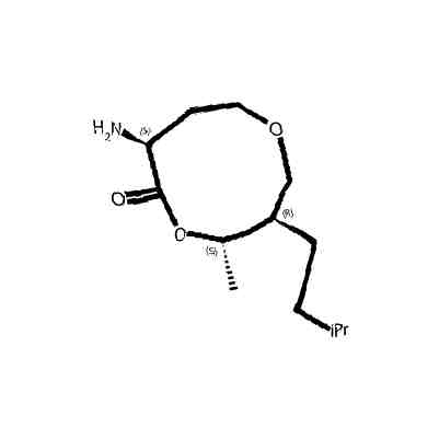 CC(C)CC[C@@H]1COCC[C@H](N)C(=O)O[C@H]1C